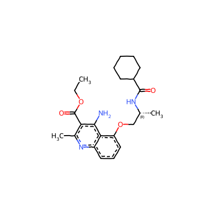 CCOC(=O)c1c(C)nc2cccc(OC[C@@H](C)NC(=O)C3CCCCC3)c2c1N